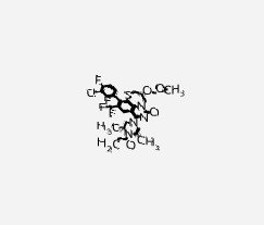 C=CC(=O)N1[C@H](C)CN(c2nc(=O)n3c4c(c(-c5ccc(F)c(Cl)c5)c(C(F)(F)F)cc24)SC[C@H](OCOC)C3)C[C@@H]1C